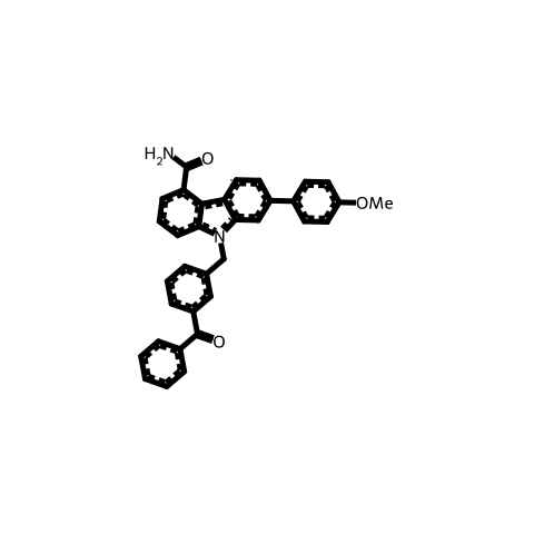 COc1ccc(-c2c[c]c3c4c(C(N)=O)cccc4n(Cc4cccc(C(=O)c5ccccc5)c4)c3c2)cc1